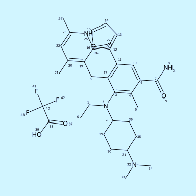 CCN(c1c(C)c(C(N)=O)cc(-c2ccco2)c1Cc1c(C)cc(C)[nH]c1=O)C1CCC(N(C)C)CC1.O=C(O)C(F)(F)F